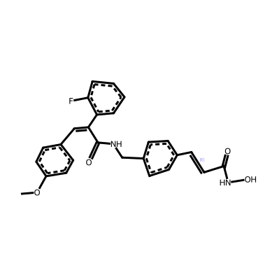 COc1ccc(C=C(C(=O)NCc2ccc(/C=C/C(=O)NO)cc2)c2ccccc2F)cc1